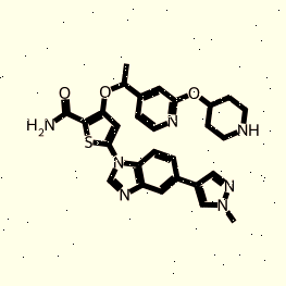 CC(Oc1cc(-n2cnc3cc(-c4cnn(C)c4)ccc32)sc1C(N)=O)c1ccnc(OC2CCNCC2)c1